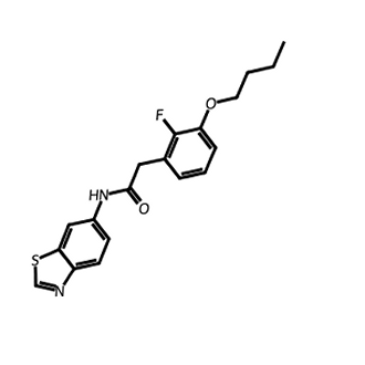 CCCCOc1cccc(CC(=O)Nc2ccc3ncsc3c2)c1F